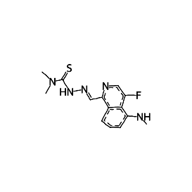 CNc1cccc2c(/C=N/NC(=S)N(C)C)ncc(F)c12